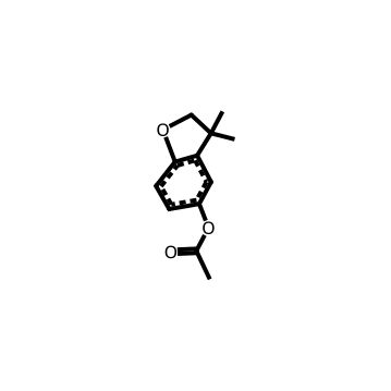 CC(=O)Oc1ccc2c(c1)C(C)(C)CO2